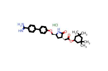 CC1(C)CC(OC(=O)C[C@@H]2C[C@@H](COc3ccc(-c4ccc(C(=N)N)cc4)cc3)NC2=O)CC(C)(C)C1.Cl